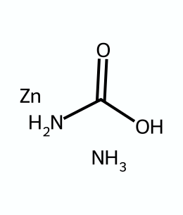 N.NC(=O)O.[Zn]